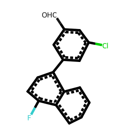 O=Cc1cc(Cl)cc(-c2ccc(F)c3ccccc23)c1